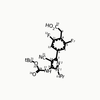 CC(C)n1nc(-c2cc(F)c(CC(=O)O)c(F)c2)c(C#N)c1NC(=O)OC(C)(C)C